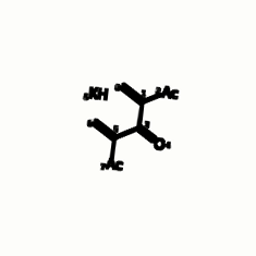 C=C(C(C)=O)C(=O)C(=C)C(C)=O.[KH]